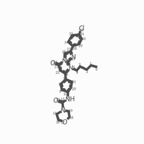 CCCCCn1c(-c2ccc(NC(=O)N3CCOCC3)cc2)cc(=O)n2cc(-c3ccc(Cl)cc3)nc12